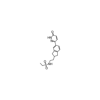 CCS(=O)(=O)NCCC1Cc2ccc(-c3ccc(=O)[nH]n3)cc2C1